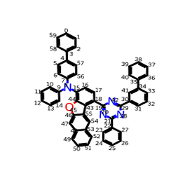 c1ccc(-c2ccc(N(c3ccccc3)c3ccc(-c4nc(-c5ccccc5)nc(-c5cccc(-c6ccccc6)c5)n4)c4c3oc3cc5ccccc5cc34)cc2)cc1